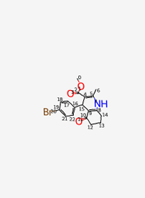 COC(=O)C1=C(C)NC2=C(C(=O)CCC2)C1c1ccc(Br)cc1